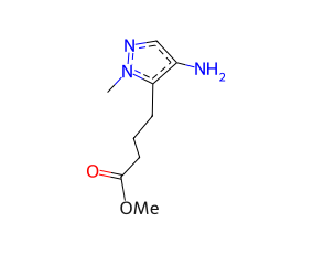 COC(=O)CCCc1c(N)cnn1C